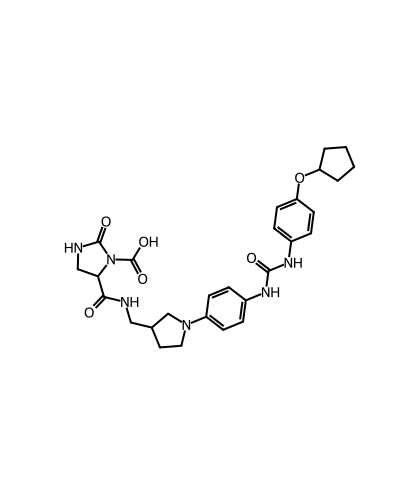 O=C(Nc1ccc(OC2CCCC2)cc1)Nc1ccc(N2CCC(CNC(=O)C3CNC(=O)N3C(=O)O)C2)cc1